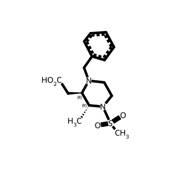 C[C@@H]1[C@@H](CC(=O)O)N(Cc2ccccc2)CCN1S(C)(=O)=O